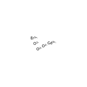 [Er+3].[Gd+3].[O-2].[O-2].[O-2]